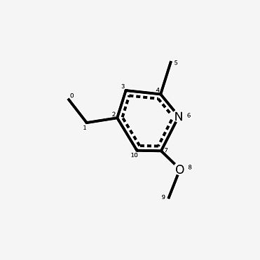 CCc1cc(C)nc(OC)c1